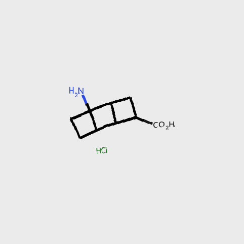 Cl.NC12C3C4C1C1C2C3C41C(=O)O